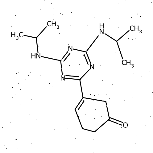 CC(C)Nc1nc(NC(C)C)nc(C2=CCCC(=O)C2)n1